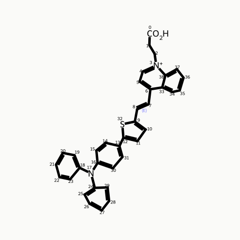 O=C(O)CC[n+]1ccc(/C=C/c2ccc(-c3ccc(N(c4ccccc4)c4ccccc4)cc3)s2)c2ccccc21